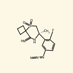 C[C@@]1(c2cc(N=[N+]=[N-])ccc2F)CS(=O)(=O)C2(CCC2)C(=N)N1